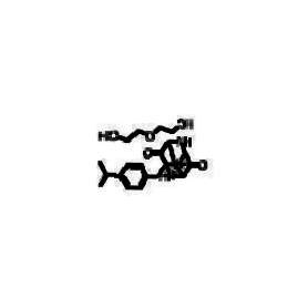 CC(C)c1ccc(CC23NC4NC(NC(N2)C4=O)C3=O)cc1.OCCOCCO